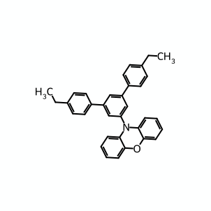 CCc1ccc(-c2cc(-c3ccc(CC)cc3)cc(N3c4ccccc4Oc4ccccc43)c2)cc1